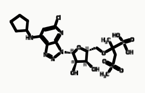 CC(CS(C)(=O)=O)(OC[C@H]1O[C@@H](n2nnc3c(NC4CCCC4)cc(Cl)nc32)[C@H](O)[C@@H]1O)P(=O)(O)O